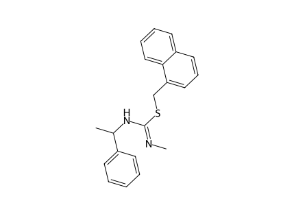 C/N=C(/NC(C)c1ccccc1)SCc1cccc2ccccc12